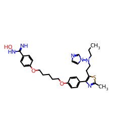 CCCN(CCc1sc(C)nc1-c1ccc(OCCCCCOc2ccc(C(=N)NO)cc2)cc1)n1ccnc1